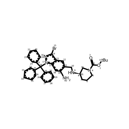 CC(C)(C)OC(=O)N1CCC[C@@H](NCc2cc3c(Br)nn(C(c4ccccc4)(c4ccccc4)c4ccccc4)c3cc2N)C1